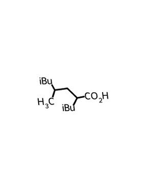 CCC(C)C(C)CC(C(=O)O)C(C)CC